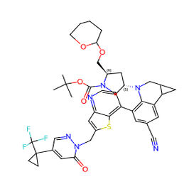 CC(C)(C)OC(=O)N1C[C@@H](N2CC3CC3c3cc(C#N)cc(-c4ccnc5cc(Cn6ncc(C7(C(F)(F)F)CC7)cc6=O)sc45)c32)C[C@@H]1COC1CCCCO1